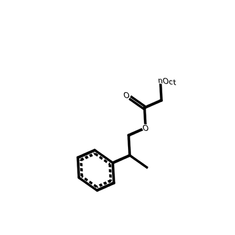 CCCCCCCCCC(=O)OCC(C)c1ccccc1